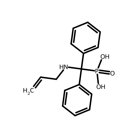 C=CCNC(c1ccccc1)(c1ccccc1)P(=O)(O)O